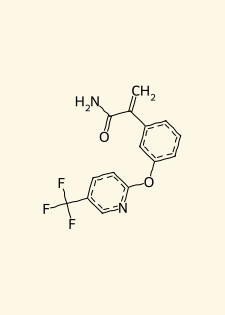 C=C(C(N)=O)c1cccc(Oc2ccc(C(F)(F)F)cn2)c1